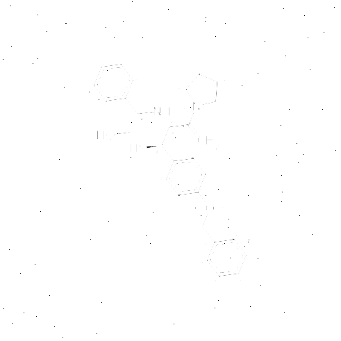 C=C([C@@H](N[C@H](CO)c1ccccc1)[C@H](S)c1ccc(OCc2ccccc2)cc1)N1CCCC1